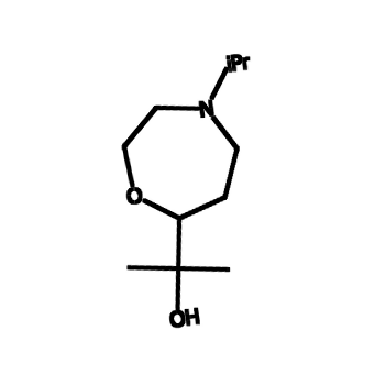 CC(C)N1CCOC(C(C)(C)O)CC1